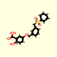 O=C(O)c1cc(OCc2cccc(CS(=O)(=O)c3ccccc3)c2)ccc1O